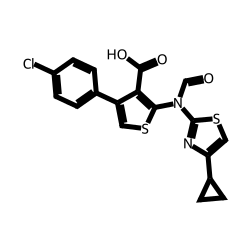 O=CN(c1nc(C2CC2)cs1)c1scc(-c2ccc(Cl)cc2)c1C(=O)O